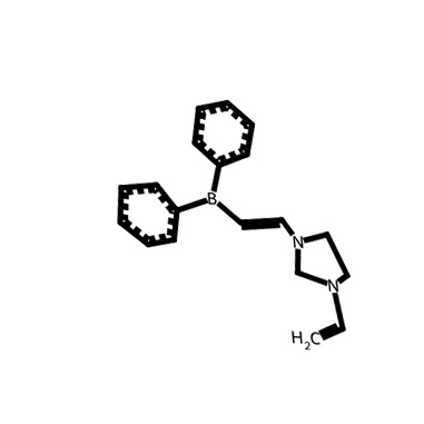 C=CN1CCN(C=CB(c2ccccc2)c2ccccc2)C1